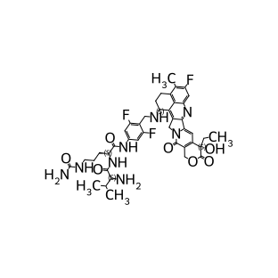 CC[C@@]1(O)C(=O)OCc2c1cc1n(c2=O)Cc2c-1nc1cc(F)c(C)c3c1c2[C@@H](NCc1c(F)cc(NC(=O)[C@H](CCCNC(N)=O)NC(=O)[C@@H](N)C(C)C)cc1F)CC3